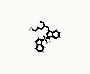 CCCCC(CC)CC1=CC([O-])([Si](C)(C)C2C=Cc3ccccc32)c2ccccc21.[Li+]